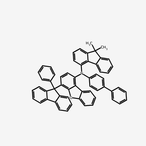 CC1(C)c2ccccc2-c2c(N(c3ccc(-c4ccccc4)cc3)c3ccc(C4(c5ccccc5)c5ccccc5-c5ccccc54)c4oc5ccccc5c34)cccc21